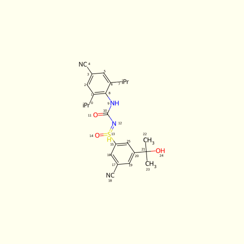 CC(C)c1cc(C#N)cc(C(C)C)c1NC(=O)N=[SH](=O)c1cc(C#N)cc(C(C)(C)O)c1